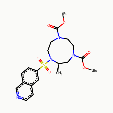 C[C@@H]1CN(C(=O)OC(C)(C)C)CCN(C(=O)OC(C)(C)C)CCN1S(=O)(=O)c1ccc2cnccc2c1